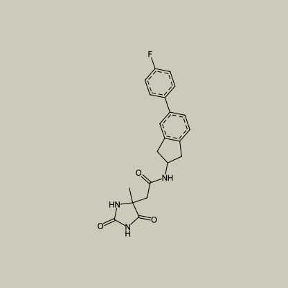 CC1(CC(=O)NC2Cc3ccc(-c4ccc(F)cc4)cc3C2)NC(=O)NC1=O